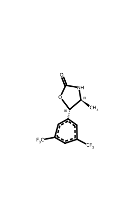 C[C@@H]1NC(=O)O[C@H]1c1cc(C(F)(F)F)cc(C(F)(F)F)c1